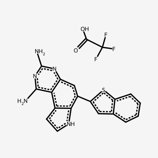 Nc1nc(N)c2c(cc(-c3cc4ccccc4s3)c3[nH]ccc32)n1.O=C(O)C(F)(F)F